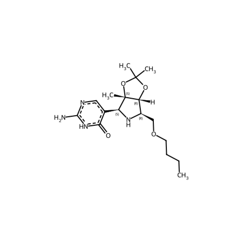 CCCCOC[C@H]1N[C@@H](c2cnc(N)[nH]c2=O)[C@]2(C)OC(C)(C)O[C@H]12